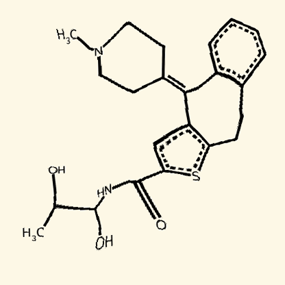 CC(O)C(O)NC(=O)c1cc2c(s1)CCc1ccccc1C2=C1CCN(C)CC1